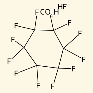 F.O=C(O)C1(F)C(F)(F)C(F)(F)C(F)(F)C(F)(F)C1(F)F